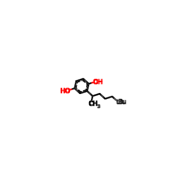 CC(CCCC(C)(C)C)c1cc(O)ccc1O